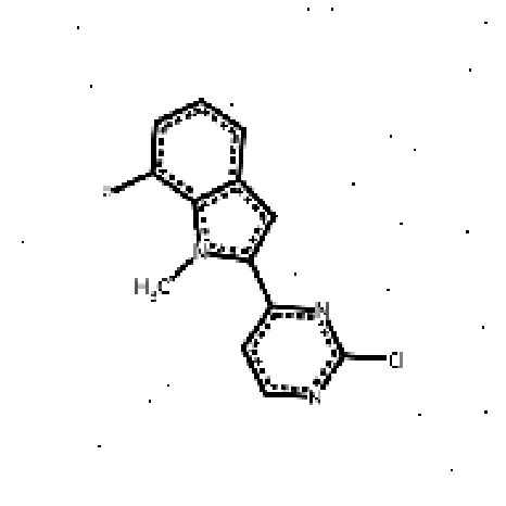 Cn1c(-c2ccnc(Cl)n2)cc2cccc(F)c21